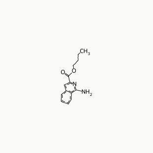 CCCCOC(=O)c1cc2ccccc2c(N)n1